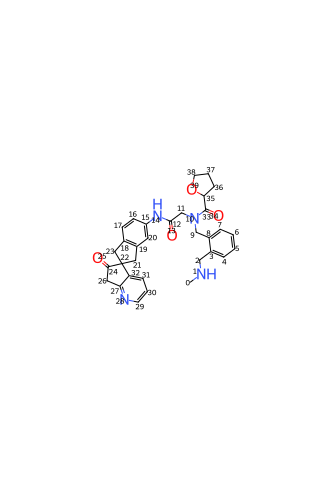 CNCc1ccccc1CN(CC(=O)Nc1ccc2c(c1)CC1(C2)C(=O)Cc2ncccc21)C(=O)C1CCCO1